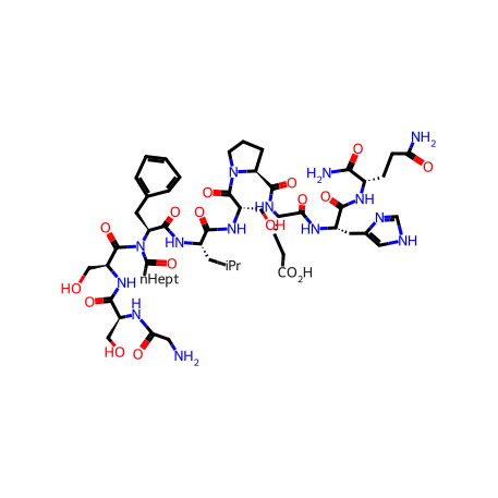 CCCCCCCC(=O)N(C(=O)[C@H](CO)NC(=O)[C@H](CO)NC(=O)CN)[C@@H](Cc1ccccc1)C(=O)N[C@@H](CC(C)C)C(=O)N[C@@H](CO)C(=O)N1CCC[C@H]1C(=O)N[C@@H](CCC(=O)O)C(=O)N[C@@H](Cc1c[nH]cn1)C(=O)N[C@@H](CCC(N)=O)C(N)=O